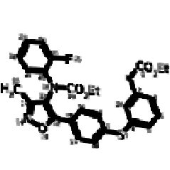 CCOC(=O)Cc1cccc(Sc2ccc(-c3onc(C)c3N(C(=O)OCC)c3ccccc3F)cc2)c1